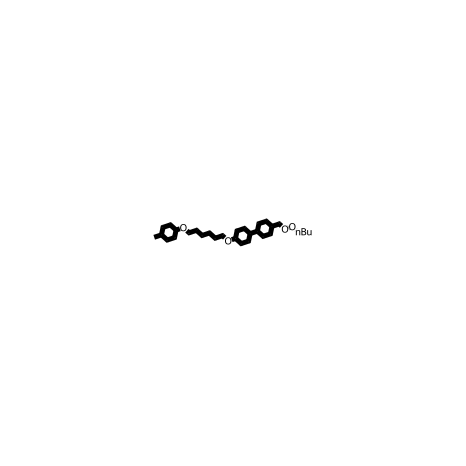 [CH2+][CH-]CCOOCC1CCC(C2CCC(OCCCCCCOC3CCC(C)CC3)CC2)CC1